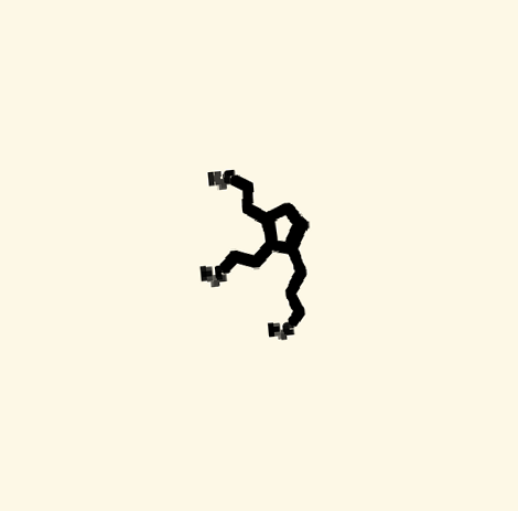 CCCCC1=[C]CC(CCC)=C1CCC